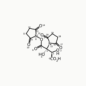 O=C(O)[C@H](O)[C@@](O)(C(=O)ON1C(=O)CCC1=O)N1C(=O)CCC1=O